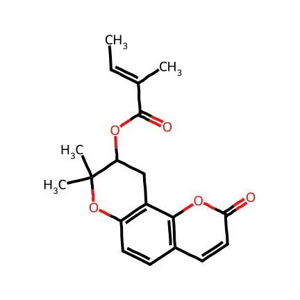 CC=C(C)C(=O)OC1Cc2c(ccc3ccc(=O)oc23)OC1(C)C